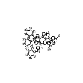 CCOP(=O)(C[C@H]1O[C@H](COCc2ccccc2)[C@@H](OCc2ccccc2)[C@H](OCc2ccccc2)[C@H]1O)OCC